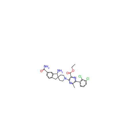 CCOC(=O)c1nc(-c2cccc(Cl)c2Cl)c(C)nc1N1CCC2(CC1)Cc1ccc(C(N)=O)cc1[C@H]2N